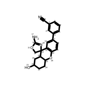 N#Cc1cccc(-c2ccc3c(c2)C2(COC(N)=N2)C2CC(O)CCC2O3)c1